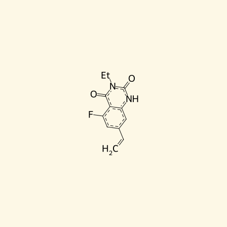 C=Cc1cc(F)c2c(=O)n(CC)c(=O)[nH]c2c1